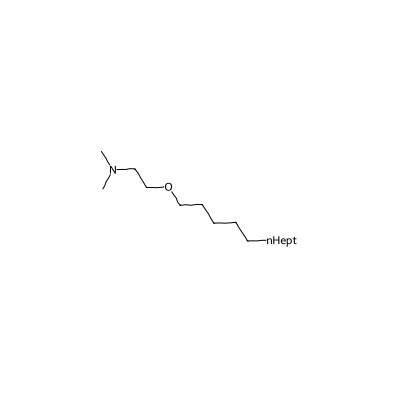 CCCCCCCCCCCCOCCN(C)C